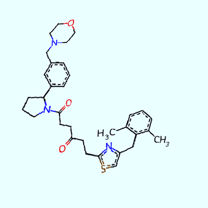 Cc1cccc(C)c1Cc1csc(CCC(=O)CCC(=O)N2CCCC2c2cccc(CN3CCOCC3)c2)n1